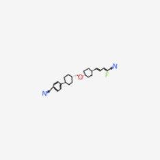 N#CC(F)=CC=C[C@H]1CC[C@H](OC[C@H]2CC[C@H](c3ccc(C#N)cc3)CC2)CC1